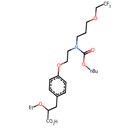 CCCCOC(=O)N(CCCOCC(F)(F)F)CCOc1ccc(CC(OCC)C(=O)O)cc1